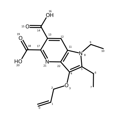 C=CCOc1c(CC)n(CC)c2cc(C(=O)O)c(C(=O)O)nc12